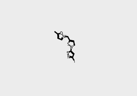 Cc1cc[n+](Cc2cc[n+](-c3cc(I)ns3)s2)o1